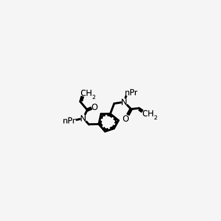 C=CC(=O)N(CCC)Cc1cccc(CN(CCC)C(=O)C=C)c1